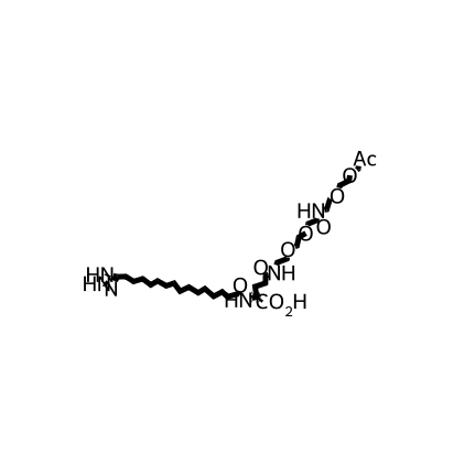 CC(=O)COCCOCCNC(=O)COCCOCCNC(=O)CC[C@H](NC(=O)CCCCCCCCCCCCCCc1n[nH][nH]1)C(=O)O